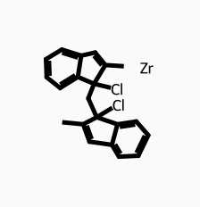 CC1=Cc2ccccc2C1(Cl)CC1(Cl)C(C)=Cc2ccccc21.[Zr]